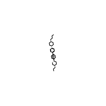 CCCC[C@H]1CC[C@H](c2ccc(C34CCC([C@H]5CC[C@H](CCC)CC5)(CC3)CC4)cc2)CC1